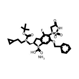 CC(C)(C)OC(=O)N(CCC1CC1)C[C@H]1Cc2c(cc(OCc3ccccc3)c(N3CC(=O)NS3(=O)=O)c2F)N1C(=O)O.N